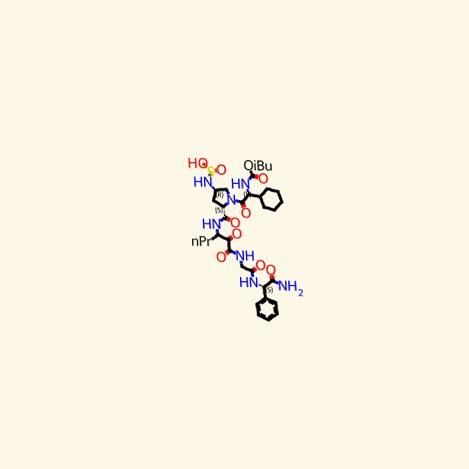 CCCC(NC(=O)[C@@H]1C[C@@H](NS(=O)O)CN1C(=O)[C@@H](NC(=O)OCC(C)C)C1CCCCC1)C(=O)C(=O)NCC(=O)N[C@H](C(N)=O)c1ccccc1